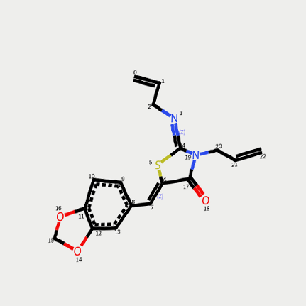 C=CC/N=C1\S/C(=C\c2ccc3c(c2)OCO3)C(=O)N1CC=C